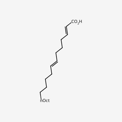 CCCCCCCCCCCCC=CCCCC=CC(=O)O